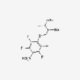 CCCCC(C)C(CSc1c(F)c(F)c(S(=O)(=O)O)c(F)c1F)C(C)CC